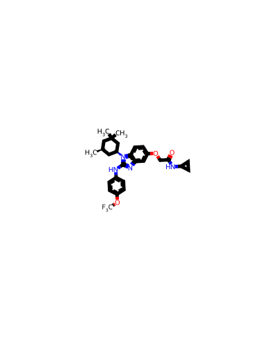 C[C@@H]1C[C@H](n2c(Nc3ccc(OC(F)(F)F)cc3)nc3cc(OCC(=O)NC4CC4)ccc32)CC(C)(C)C1